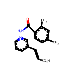 Cc1ccc(C(N)=O)c(C)c1.O=S(=O)(O)/C=C/c1cccnc1